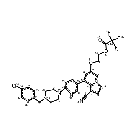 N#Cc1cnn2cc(OCCOC(=O)C(F)(F)F)cc(-c3ccc(N4CCN(Cc5ccc(Cl)cn5)CC4)nc3)c12